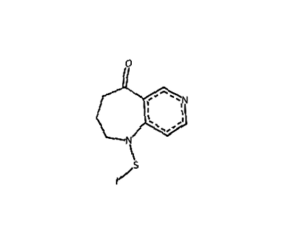 O=C1CCCN(SI)c2ccncc21